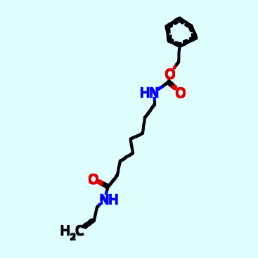 C=CCNC(=O)CCCCCCCNC(=O)OCc1ccccc1